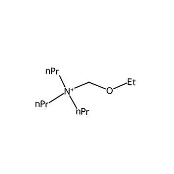 CCC[N+](CCC)(CCC)COCC